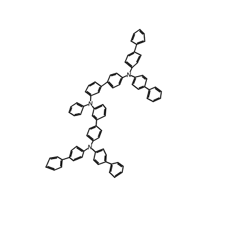 c1ccc(-c2ccc(N(c3ccc(-c4ccccc4)cc3)c3ccc(-c4cccc(N(c5ccccc5)c5cccc(-c6ccc(N(c7ccc(-c8ccccc8)cc7)c7ccc(-c8ccccc8)cc7)cc6)c5)c4)cc3)cc2)cc1